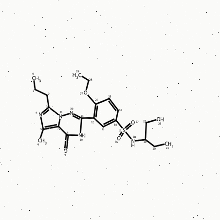 CCCc1nc(C)c2c(=O)[nH]c(-c3cc(S(=O)(=O)NC(CC)CO)ccc3OCC)nn12